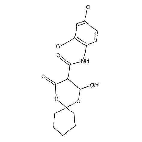 O=C(Nc1ccc(Cl)cc1Cl)C1C(=O)OC2(CCCCC2)OC1O